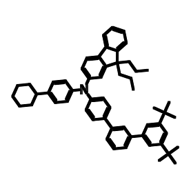 CCCC1(CCC)c2ccccc2-c2ccc(N(c3ccc(-c4cccc(-c5cc(C(C)(C)C)cc(C(C)(C)C)c5)c4)cc3)c3ccc(C4CCCCC4)cc3)cc21